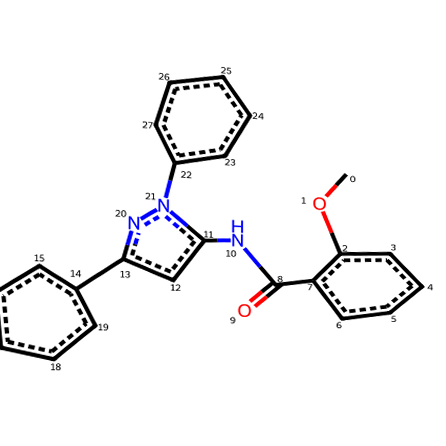 COc1ccccc1C(=O)Nc1cc(-c2ccccc2)nn1-c1ccccc1